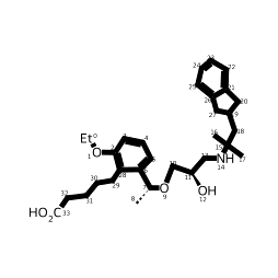 CCOc1cccc([C@@H](C)OC[C@H](O)CNC(C)(C)CC2Cc3ccccc3C2)c1CCCCC(=O)O